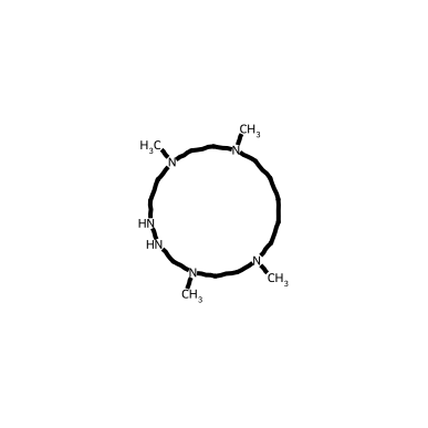 CN1CCCCCN(C)CCN(C)CNNCCN(C)CC1